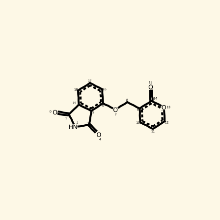 O=C1NC(=O)c2c(OCc3cccoc3=O)cccc21